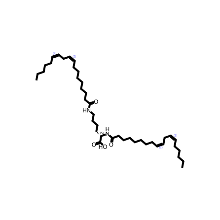 CCCCC/C=C\C/C=C\CCCCCCCC(=O)NCCCC[C@H](NC(=O)CCCCCCC/C=C\C/C=C\CCCCC)C(=O)O